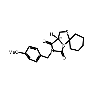 COc1ccc(CN2C(=O)[C@@H]3CSC4(CCCCC4)N3C2=O)cc1